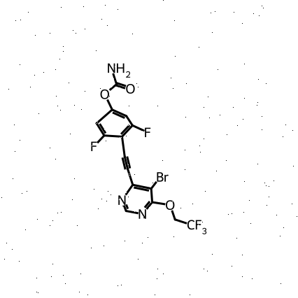 NC(=O)Oc1cc(F)c(C#Cc2ncnc(OCC(F)(F)F)c2Br)c(F)c1